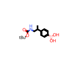 CC(CNC(=O)OC(C)(C)C)c1ccc(B(O)O)cc1